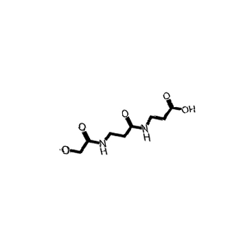 [O]CC(=O)NCCC(=O)NCCC(=O)O